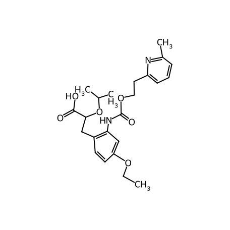 CCOc1ccc(CC(OC(C)C)C(=O)O)c(NC(=O)OCCc2cccc(C)n2)c1